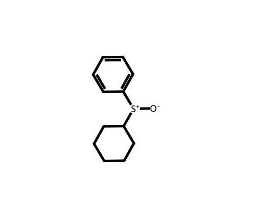 [O-][S+](c1ccccc1)C1CCCCC1